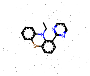 CCN1c2ccccc2Sc2cccc(-c3ncccn3)c21